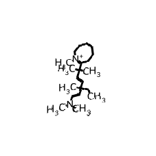 CCC(C)(/C=C/N(C)C)/C=C/C(C)(C)/C1=[N+](\C)CCCCCC1